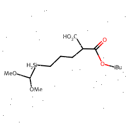 CCC(C)OC(=O)C(CCC[SiH2]C(OC)OC)C(=O)O